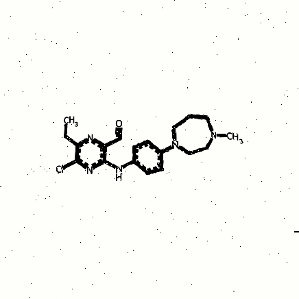 CCc1nc(C=O)c(Nc2ccc(N3CCCN(C)CC3)cc2)nc1Cl